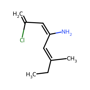 C=C(Cl)/C=C(N)\C=C(/C)CC